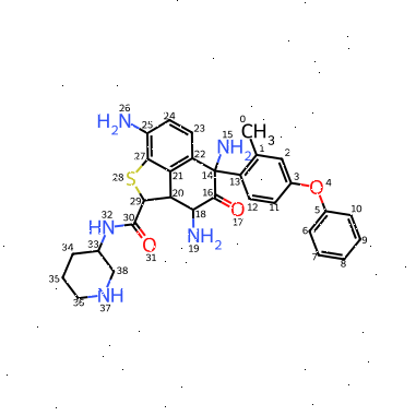 Cc1cc(Oc2ccccc2)ccc1C1(N)C(=O)C(N)C2c3c1ccc(N)c3SC2C(=O)NC1CCCNC1